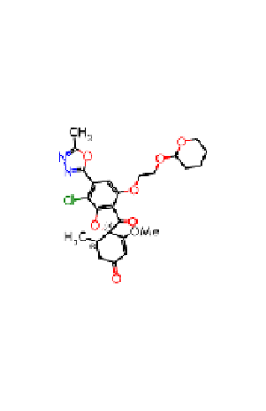 COC1=CC(=O)C[C@@H](C)[C@]12Oc1c(Cl)c(-c3nnc(C)o3)cc(OCCOC3CCCCO3)c1C2=O